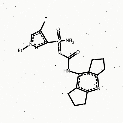 CCn1cc(F)c(S(N)(=O)=NC(=O)Nc2c3c(nc4c2CCC4)CCC3)n1